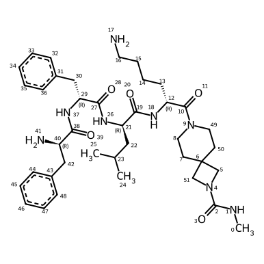 CNC(=O)N1CC2(CCN(C(=O)[C@@H](CCCCN)NC(=O)[C@@H](CC(C)C)NC(=O)[C@@H](Cc3ccccc3)NC(=O)[C@H](N)Cc3ccccc3)CC2)C1